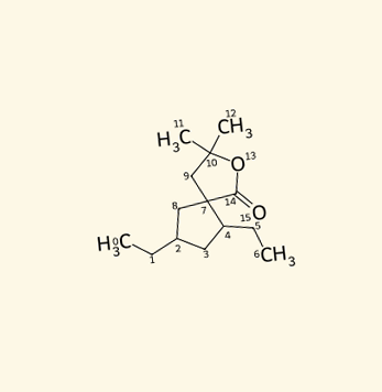 CCC1CC(CC)C2(C1)CC(C)(C)OC2=O